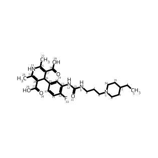 CCC1CCN(CCCNC(=O)Nc2cc(C3C(C(=O)O)=C(C)NC(C)=C3C(=O)O)ccc2F)CC1